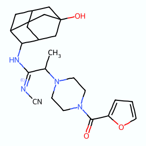 CC(/C(=N\C#N)NC1C2CC3CC1CC(O)(C3)C2)N1CCN(C(=O)c2ccco2)CC1